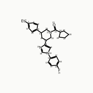 CCc1ccc(C2CC(c3cn(-c4ccc(F)cc4)cn3)CN(C(=O)C3CCCC3)C2)cc1